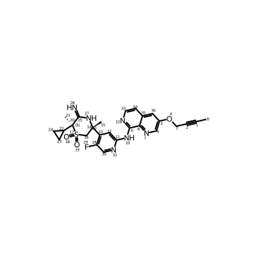 CC#CCOc1cnc2c(Nc3cc([C@]4(C)CS(=O)(=O)[C@@](C)(C5CC5)C(=N)N4)c(F)cn3)nccc2c1